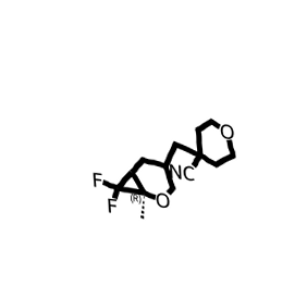 C[C@@]12OCC(CC3(C#N)CCOCC3)CC1C2(F)F